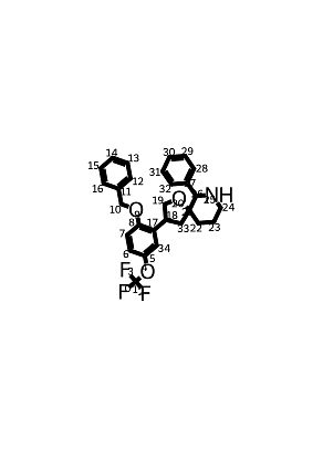 FC(F)(F)Oc1ccc(OCc2ccccc2)c(C2COC3(CCCNC3c3ccccc3)C2)c1